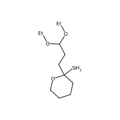 CCOC(CCC1([SiH3])CCCCO1)OCC